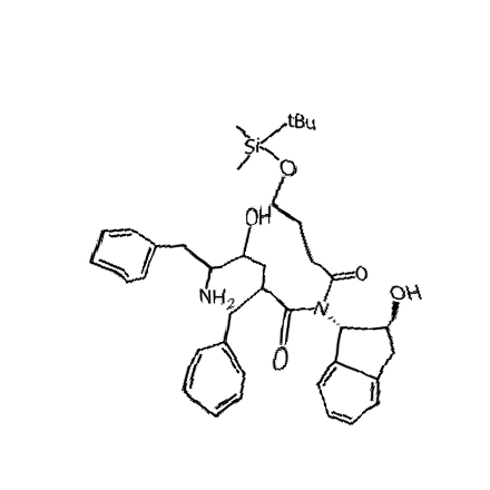 CC(C)(C)[Si](C)(C)OCCCC(=O)N(C(=O)C(Cc1ccccc1)CC(O)C(N)Cc1ccccc1)[C@H]1c2ccccc2C[C@@H]1O